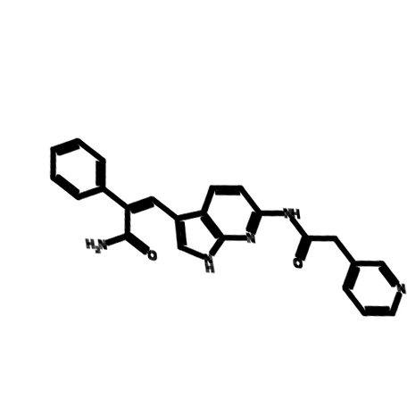 NC(=O)C(=Cc1c[nH]c2nc(NC(=O)Cc3cccnc3)ccc12)c1ccccc1